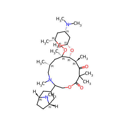 CO[C@]1(C)C[C@@H](C)CN(C)C(C2C[C@H]3CC[C@@H](C2)N3C)COC(=O)C(C)(C)C(=O)[C@H](C)[C@H]1O[C@H]1C[C@@H](N(C)C)C[C@@H](C)O1